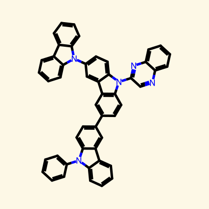 c1ccc(-n2c3ccccc3c3cc(-c4ccc5c(c4)c4cc(-n6c7ccccc7c7ccccc76)ccc4n5-c4cnc5ccccc5n4)ccc32)cc1